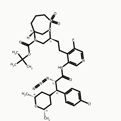 C[C@@H]1CC([C@H](c2ccc(Cl)cc2)[C@H](N=[N+]=[N-])C(=O)Nc2cncc(F)c2CC[C@H]2CN(C(=O)OC(C)(C)C)[C@@H]3CCCS(=O)(=O)N2C3)C[C@H](C)O1